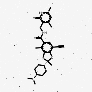 C#Cc1cc(C(=O)NCc2c(C)cc(C)[nH]c2=O)c(C)c2c1OC(C)([C@H]1CC[C@H](N(C)C)CC1)O2